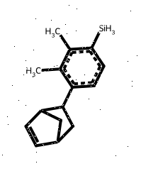 Cc1c([SiH3])ccc(C2CC3C=CC2C3)c1C